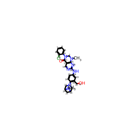 CN1CN(c2ccccc2Cl)C(=O)c2cnc(Nc3ccc(N4CC5CC(C4)N5C)c(CO)c3)nc21